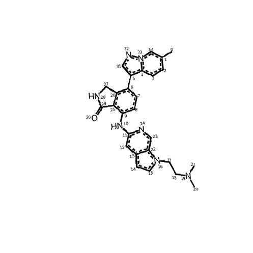 Cc1ccc2c(-c3ccc(Nc4cc5ccn(CCN(C)C)c5cn4)c4c3CNC4=O)cnn2c1